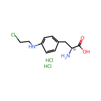 Cl.Cl.N[C@@H](Cc1ccc(NCCCl)cc1)C(=O)O